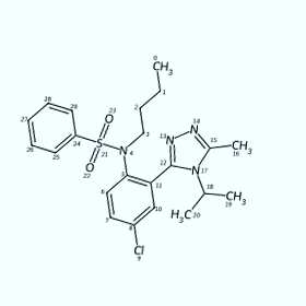 CCCCN(c1ccc(Cl)cc1-c1nnc(C)n1C(C)C)S(=O)(=O)c1ccccc1